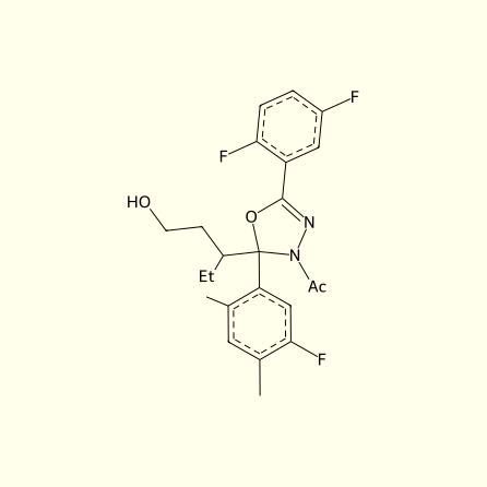 CCC(CCO)C1(c2cc(F)c(C)cc2C)OC(c2cc(F)ccc2F)=NN1C(C)=O